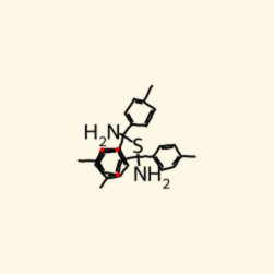 Cc1ccc(C(N)(SC(N)(c2ccc(C)cc2)c2ccc(C)cc2)c2ccc(C)cc2)cc1